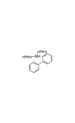 CCCCCCNCCCCCC.c1ccc(-c2ccccc2)cc1